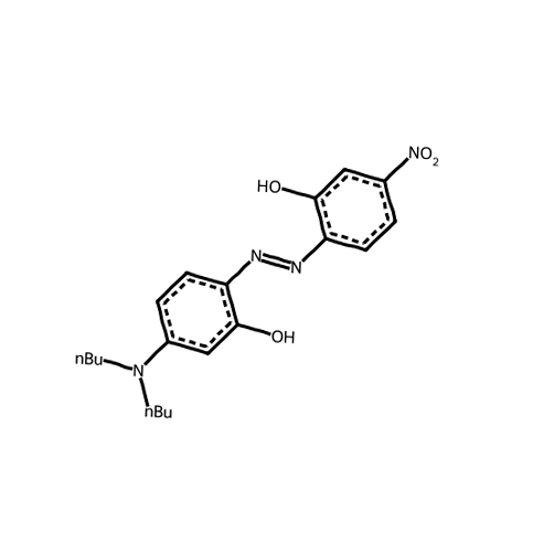 CCCCN(CCCC)c1ccc(N=Nc2ccc([N+](=O)[O-])cc2O)c(O)c1